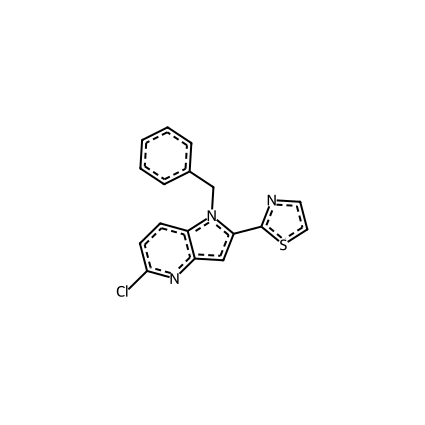 Clc1ccc2c(cc(-c3nccs3)n2Cc2ccccc2)n1